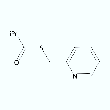 CC(C)C(=O)SCc1ccccn1